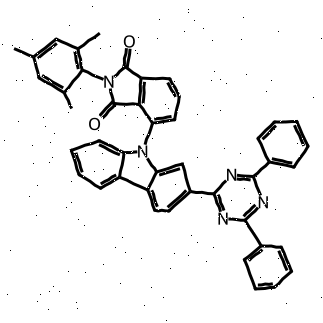 Cc1cc(C)c(N2C(=O)c3cccc(-n4c5ccccc5c5ccc(-c6nc(-c7ccccc7)nc(-c7ccccc7)n6)cc54)c3C2=O)c(C)c1